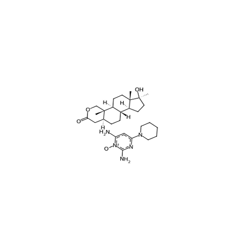 C[C@]12COC(=O)C[C@@H]1CC[C@@H]1[C@@H]2CC[C@@]2(C)[C@H]1CC[C@]2(C)O.Nc1cc(N2CCCCC2)nc(N)[n+]1[O-]